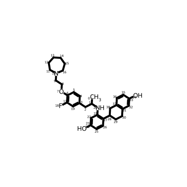 CC(Cc1ccc(OCCN2CCCCCC2)c(F)c1)Nc1cc(O)ccc1C1CCc2cc(O)ccc2C1